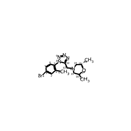 Cc1cc(Br)ccc1-n1nnnc1CN1CC(C)O[C@@H](C)C1